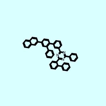 c1ccc(-c2nc(-c3cccc(-c4ccc(-c5ccc6ccccc6c5)cc4-c4ccccc4)c3)nc(-c3ccccc3-c3ccccc3)n2)cc1